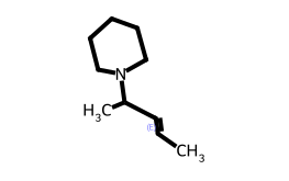 C/C=C/C(C)N1CCCCC1